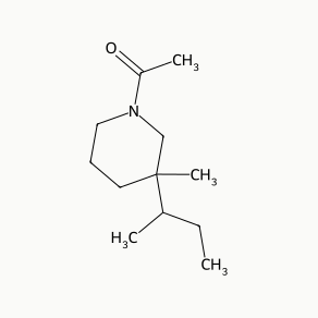 CCC(C)C1(C)CCCN(C(C)=O)C1